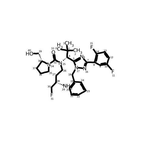 CC(C)(C)[C@H](c1nc(-c2cc(F)ccc2F)nn1Cc1ccccc1)N(CC[C@H](N)CF)C(=O)N1CCC[C@@H]1CO